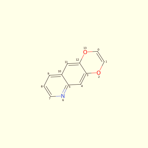 C1=COc2cc3ncccc3cc2O1